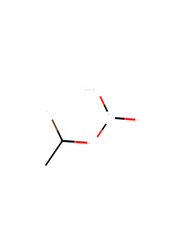 CC(S)OB(O)O